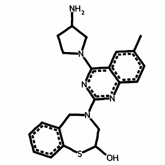 Cc1ccc2nc(N3Cc4ccccc4SC(O)C3)nc(N3CCC(N)C3)c2c1